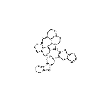 c1ccc2nc(-n3c4ccc5cccc6sc7cccc8ccc3c(c87)c4c56)c(-c3ccc4c(c3)oc3ccccc34)nc2c1